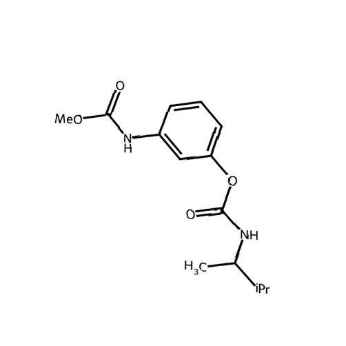 COC(=O)Nc1cccc(OC(=O)NC(C)C(C)C)c1